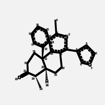 Cc1nc(-c2ccoc2)c2c(n1)[C@@]1(c3ccccc3)CCC(=O)[C@@H](C)[C@@H]1CC2